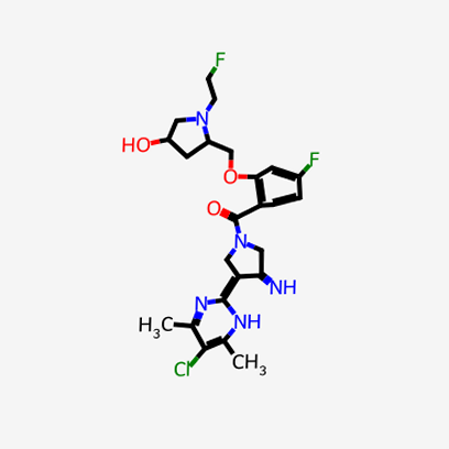 CC1=N/C(=C2\CN(C(=O)c3ccc(F)cc3OCC3CC(O)CN3CCF)CC2=N)NC(C)=C1Cl